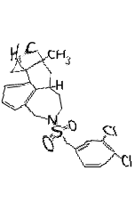 CC1(C)C[C@@H]2CCN(S(=O)(=O)Cc3ccc(Cl)c(Cl)c3)Cc3cccc(c32)C12CC2